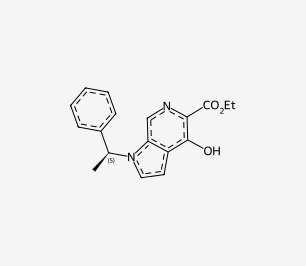 CCOC(=O)c1ncc2c(ccn2[C@@H](C)c2ccccc2)c1O